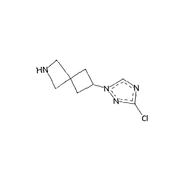 Clc1ncn(C2CC3(CNC3)C2)n1